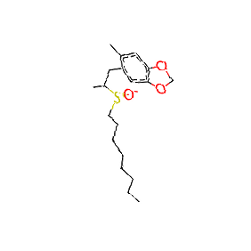 CCCCCCCC[S+]([O-])C(C)Cc1cc2c(cc1C)OCO2